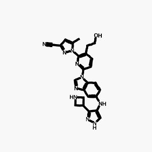 Cc1cc(C#N)nn1-c1nc(-n2cnc3cc(Nc4c[nH]nc4C4CNC4)ccc32)ccc1CCO